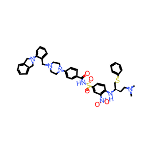 CN(C)CC[C@H](CSc1ccccc1)Nc1ccc(S(=O)(=O)NC(=O)c2ccc(N3CCN(Cc4ccccc4N4Cc5ccccc5C4)CC3)cc2)cc1[N+](=O)[O-]